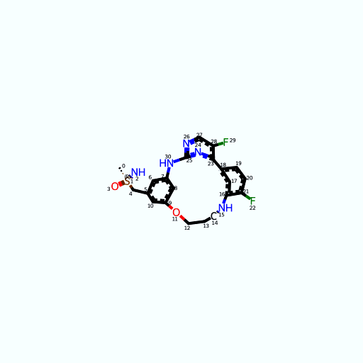 C[S@@](=N)(=O)Cc1cc2cc(c1)OCCCNc1cc(ccc1F)-c1nc(ncc1F)N2